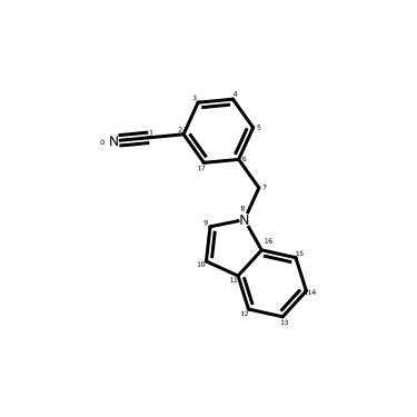 N#Cc1cccc(Cn2ccc3cc[c]cc32)c1